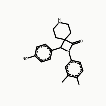 Cc1cc(N2C(=O)C3(CCNCC3)C2c2ccc(C#N)cc2)ccc1F